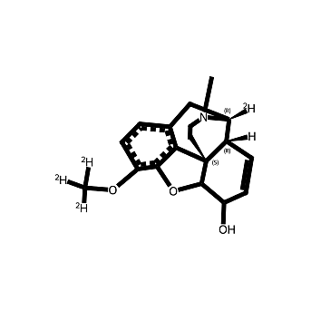 [2H]C([2H])([2H])Oc1ccc2c3c1OC1C(O)C=C[C@@H]4[C@@]31CCN(C)[C@]4([2H])C2